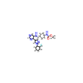 CC(C)(C)OC(=O)N[C@H]1CC[C@@H](CNc2cncnc2-c2cnn(-c3ccccc3F)c2)CC1